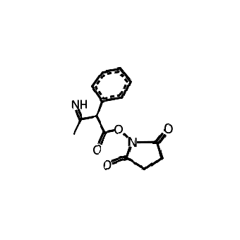 CC(=N)C(C(=O)ON1C(=O)CCC1=O)c1ccccc1